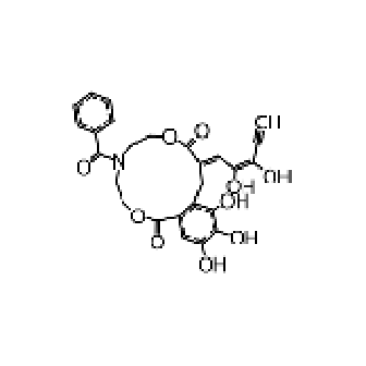 C#C/C(O)=C(O)\C=C1/Cc2c(cc(O)c(O)c2O)C(=O)OCCN(C(=O)c2ccccc2)CCOC1=O